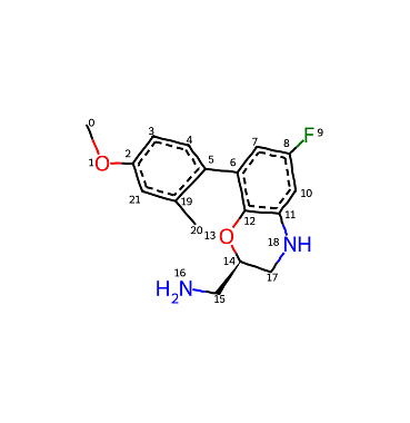 COc1ccc(-c2cc(F)cc3c2O[C@H](CN)CN3)c(C)c1